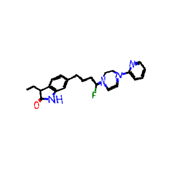 CCC1C(=O)Nc2cc(CCCC(F)N3CCN(c4ccccn4)CC3)ccc21